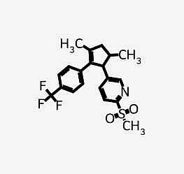 CC1=C(c2ccc(C(F)(F)F)cc2)C(c2ccc(S(C)(=O)=O)nc2)C(C)C1